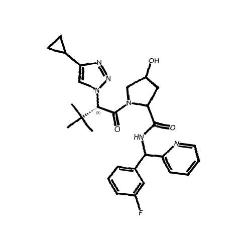 CC(C)(C)[C@@H](C(=O)N1CC(O)CC1C(=O)NC(c1cccc(F)c1)c1ccccn1)n1cc(C2CC2)nn1